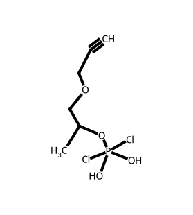 C#CCOCC(C)OP(O)(O)(Cl)Cl